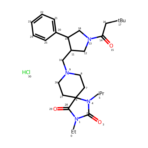 CCN1C(=O)N(C(C)C)C2(CCN(CC3CN(C(=O)CC(C)(C)C)CC3c3ccccc3)CC2)C1=O.Cl